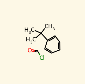 CC(C)(C)c1ccccc1.O=CCl